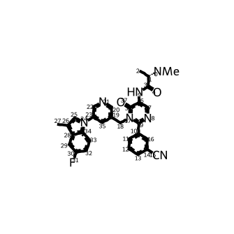 CN[C@@H](C)C(=O)Nc1cnc(-c2cccc(C#N)c2)n(Cc2cncc(-n3cc(C)c4cc(F)ccc43)c2)c1=O